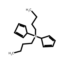 CCC[CH2][Ti]([CH2]CCC)([CH]1C=CC=C1)[CH]1C=CC=C1